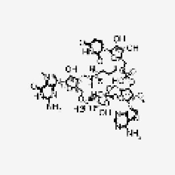 CO[C@@H]1[C@H](OP(=O)(O)OC[C@H]2O[C@@H](n3ccc(=O)[nH]c3=O)[C@H](O)[C@@H]2O)[C@@H](COP(=O)(O)OP(=O)(O)OP(=O)(O)OC[C@H]2O[C@@H](n3c[n+](C)c4c(=O)[nH]c(N)nc43)[C@H](O)[C@@H]2CNS(=O)(=O)CCCF)O[C@H]1n1cnc2c(N)ncnc21